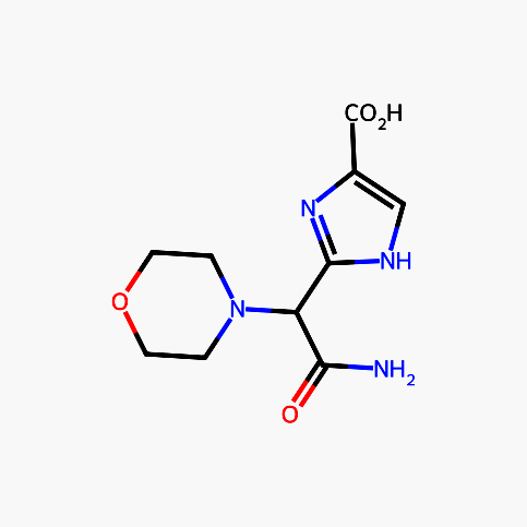 NC(=O)C(c1nc(C(=O)O)c[nH]1)N1CCOCC1